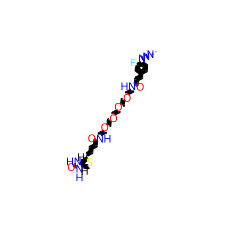 [N-]=[N+]=Nc1ccc(/C=C/C(=O)NCCOCCOCCOCCOCCNC(=O)CCCC[C@@H]2SC[C@@H]3NC(=O)N[C@@H]32)cc1F